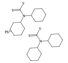 S=C([S-])N(C1CCCCC1)C1CCCCC1.S=C([S-])N(C1CCCCC1)C1CCCCC1.[Pb+2]